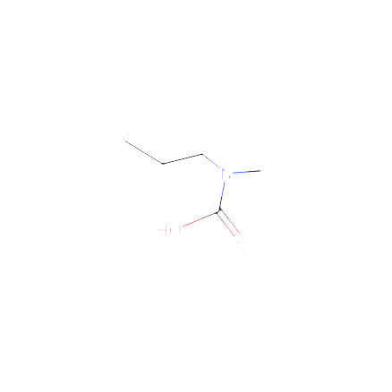 [CH2]N(CCC)C(=O)O